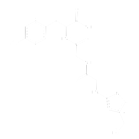 NC(=O)C(Cc1ccc(O)cc1)NC(=O)CNC(=O)CNc1ncc(CO)s1